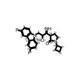 N=C(C(O)Cn1c2ccc(F)cc2c2cc(F)ccc21)C1CCN(C2CCC2)C1=O